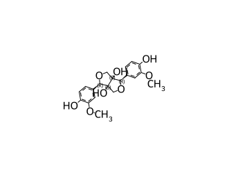 COc1cc([C@H]2OC[C@]3(O)[C@@H](c4ccc(O)c(OC)c4)OC[C@]23O)ccc1O